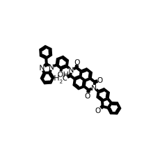 C=c1c2ccc3c4c(ccc(c(=O)n1-c1cccc(-n5c(-c6ccccc6)nc6ccccc65)c1O)c42)C(=O)N(c1ccc2c(c1)C(=O)c1ccccc1-2)C3=O